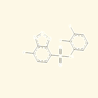 O=S(=O)(Nc1cccc(F)c1F)c1ccc(F)c2nonc12